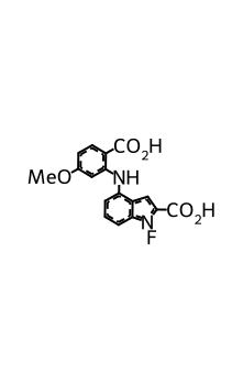 COc1ccc(C(=O)O)c(Nc2cccc3c2cc(C(=O)O)n3F)c1